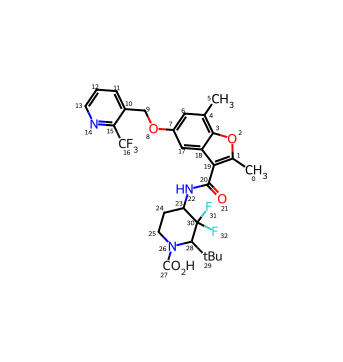 Cc1oc2c(C)cc(OCc3cccnc3C(F)(F)F)cc2c1C(=O)NC1CCN(C(=O)O)C(C(C)(C)C)C1(F)F